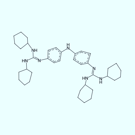 c1cc(Nc2ccc(N=C(NC3CCCCC3)NC3CCCCC3)cc2)ccc1N=C(NC1CCCCC1)NC1CCCCC1